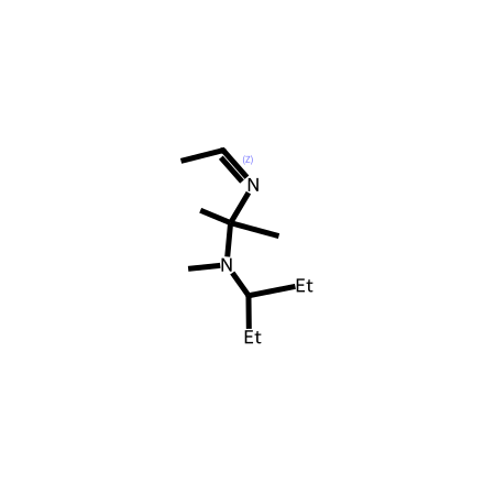 C/C=N\C(C)(C)N(C)C(CC)CC